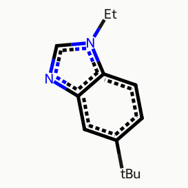 CCn1cnc2cc(C(C)(C)C)ccc21